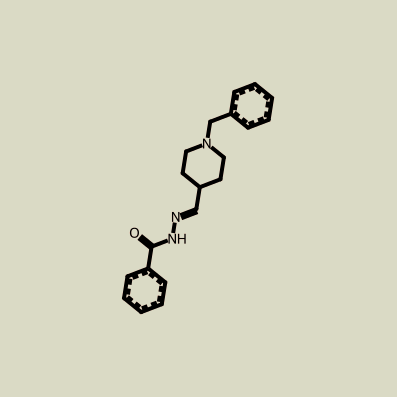 O=C(NN=CC1CCN(Cc2ccccc2)CC1)c1ccccc1